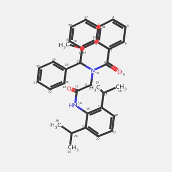 COc1ccccc1C(=O)N(CC(=O)Nc1c(C(C)C)cccc1C(C)C)C(c1ccccc1)c1ccccc1